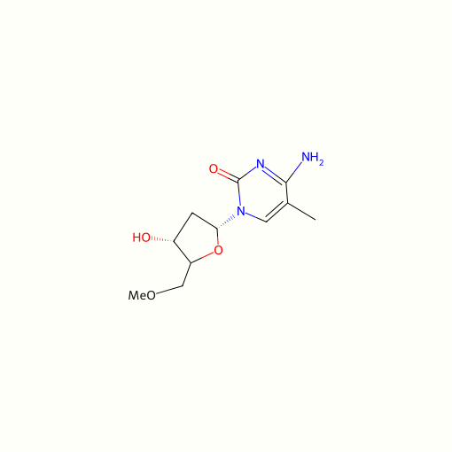 COCC1O[C@@H](n2cc(C)c(N)nc2=O)C[C@H]1O